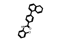 O=C(Nc1ccccc1Cl)c1ccc(-c2cccc3c2C=CCC3)cc1